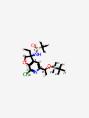 CCC1(N[S+]([O-])C(C)(C)C)COc2c1cc(C(C)O[Si](C)(C)C(C)(C)C)nc2Cl